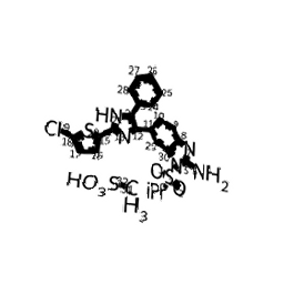 CC(C)S(=O)(=O)n1c(N)nc2ccc(-c3nc(-c4ccc(Cl)s4)[nH]c3-c3ccccc3)cc21.CS(=O)(=O)O